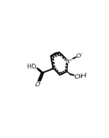 O=C(O)c1cc[n+]([O-])c(O)c1